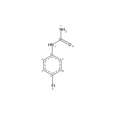 CCc1ccc(NC(N)=O)cc1